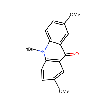 CCCCn1c2ccc(OC)cc2c(=O)c2cc(OC)ccc21